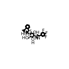 CC(C)(O)[C@@H](S[C@@H]1O[C@H](CO)[C@H](O)[C@H](n2cc(-c3cc(F)c(F)c(F)c3)nn2)[C@H]1O)c1ccccc1C1CC1